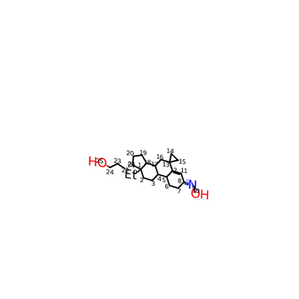 CCC12CCC3C4CC/C(=N\O)C=C4C4(CC4)CC3C1CC[C@H]2CCCO